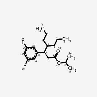 CCCC(CCC)[C@@H](CC(=O)OC(C)C)c1cc(F)cc(F)c1